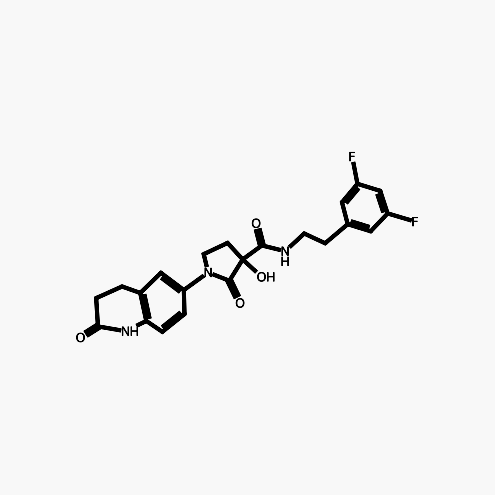 O=C1CCc2cc(N3CCC(O)(C(=O)NCCc4cc(F)cc(F)c4)C3=O)ccc2N1